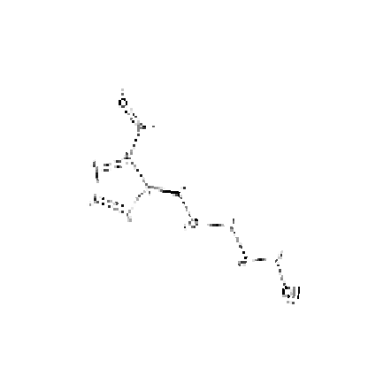 O=PC1=CC=C[C@@H]1COCCCO